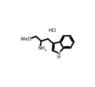 COCC(N)Cc1c[nH]c2ccccc12.Cl